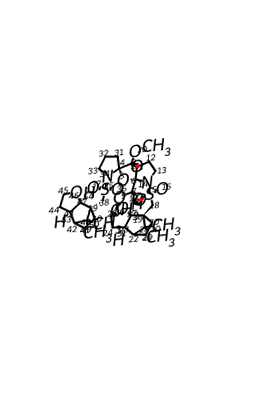 COC(=O)[C@@]1(O[C@]2(C(=O)OC)CCCN2S(=O)(=O)C[C@]23CCC([C@H]4CCO[C@H]42)C3(C)C)CCCN1S(=O)(=O)C[C@@]12CCC([C@H]3CCO[C@H]31)C2(C)C